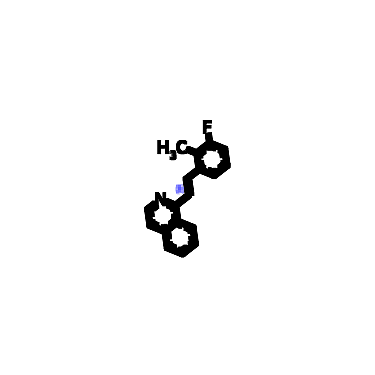 Cc1c(F)cccc1/C=C/c1nccc2ccccc12